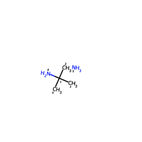 CC(C)(C)N.N